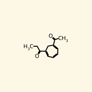 CCC(=O)C1=CC=CC=C(C(C)=O)C1